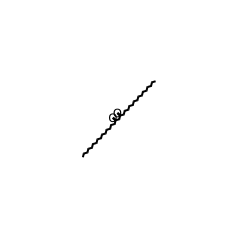 CCCCCCCCCCCCCCCC(=O)CC(=O)CCCCCCCCCCCCCCC